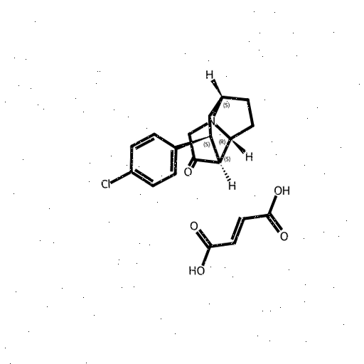 O=C(O)C=CC(=O)O.O=C1CN2[C@H]3CC[C@@H]2[C@@H]1[C@@H](c1ccc(Cl)cc1)C3